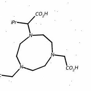 CC(=O)CN1CCN(CC(=O)O)CCN(C(C(=O)O)C(C)C)CC1